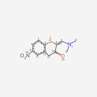 CN(C)C=C1Sc2ccc([N+](=O)[O-])cc2CC1=O